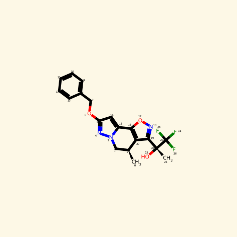 C[C@H]1Cn2nc(OCc3ccccc3)cc2-c2onc([C@@](C)(O)C(F)(F)F)c21